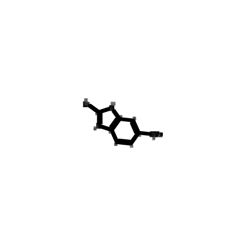 CCc1nc2ccc(OC)cc2o1